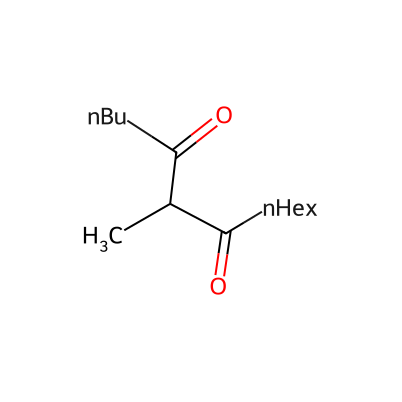 CCCCCCC(=O)C(C)C(=O)CCCC